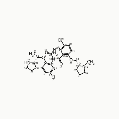 CC(Oc1ccc(Cl)nc1N(C(N)=O)C(=O)c1nc(Cl)ccc1OC[C@H]1CCCN1C)[C@@H]1CCCN1